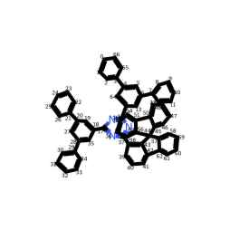 c1ccc(-c2cc(-c3ccccc3)cc(-c3nc(-c4cc(-c5ccccc5)cc(-c5ccccc5)c4)nc(-c4cccc5c4C4(c6ccccc6-c6ccccc64)c4ccccc4-5)n3)c2)cc1